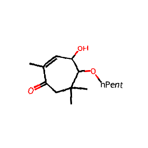 CCCCCOC1C(O)C=C(C)C(=O)CC1(C)C